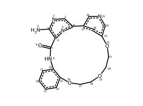 Nc1ncc2nc1C(=O)Nc1ccccc1OCCOCCOc1cncc-2c1